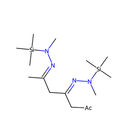 CC(=O)CC(CC(C)=NN(C)[Si](C)(C)C)=NN(C)[Si](C)(C)C